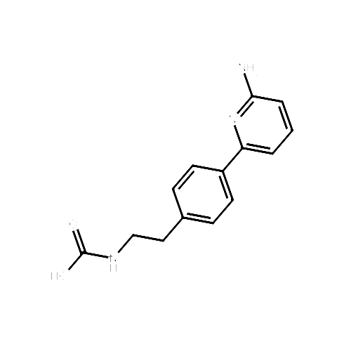 Nc1cccc(-c2ccc(CCNC(=O)O)cc2)n1